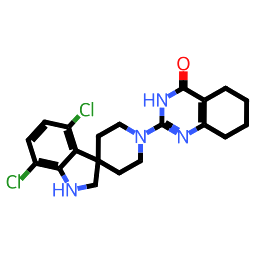 O=c1[nH]c(N2CCC3(CC2)CNc2c(Cl)ccc(Cl)c23)nc2c1CCCC2